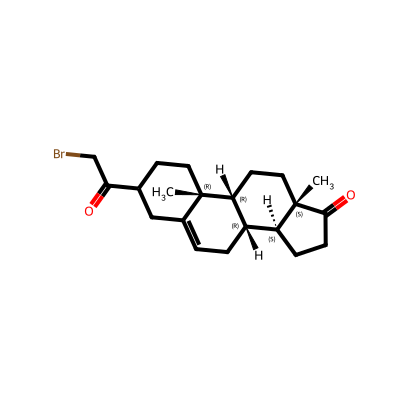 C[C@]12CCC(C(=O)CBr)CC1=CC[C@@H]1[C@H]2CC[C@]2(C)C(=O)CC[C@@H]12